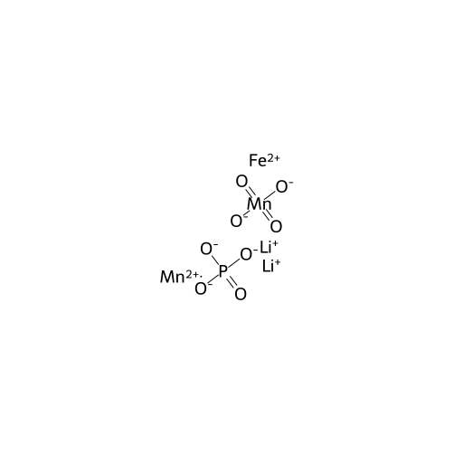 O=P([O-])([O-])[O-].[Fe+2].[Li+].[Li+].[Mn+2].[O]=[Mn](=[O])([O-])[O-]